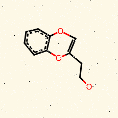 [O]CCC1=COc2ccccc2O1